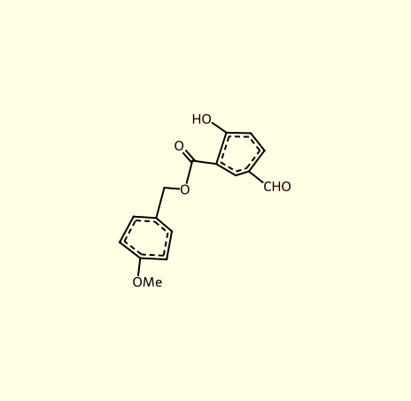 COc1ccc(COC(=O)c2cc(C=O)ccc2O)cc1